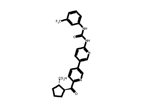 O=C(Nc1cccc(C(F)(F)F)c1)Nc1ccc(-c2ccc(C(=O)[C@H]3CCC[C@@H]3C(=O)O)nc2)cn1